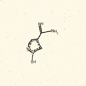 N=C(N)c1cnn(O)c1